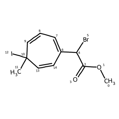 COC(=O)C(Br)C1=CC=CC(C)(I)C=C1